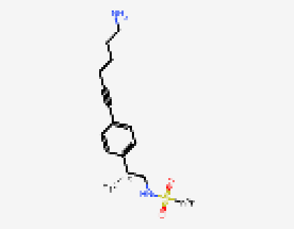 CCCS(=O)(=O)NC[C@H](C)c1ccc(C#CCCCCN)cc1